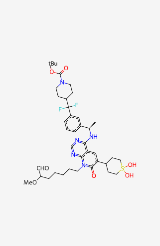 COC(C=O)CCCCCn1c(=O)c(C2CCS(O)(O)CC2)cc2c(N[C@H](C)c3cccc(C(F)(F)C4CCN(C(=O)OC(C)(C)C)CC4)c3)ncnc21